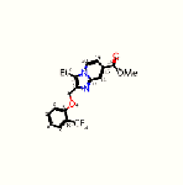 CCc1c(COc2ccccc2C(F)(F)F)nc2cc(C(=O)OC)ccn12